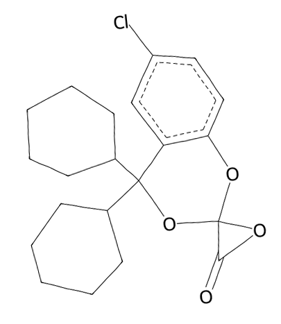 O=C1OC12Oc1ccc(Cl)cc1C(C1CCCCC1)(C1CCCCC1)O2